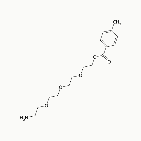 Cc1ccc(S(=O)OCCOCCOCCOCCN)cc1